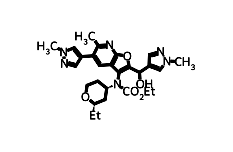 CCOC(=O)N(c1c(C(O)c2cnn(C)c2)oc2nc(C)c(-c3cnn(C)c3)cc12)[C@H]1CCO[C@@H](CC)C1